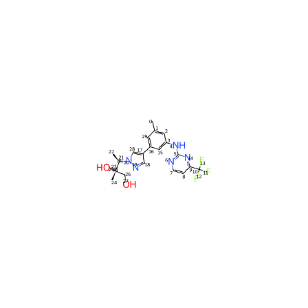 Cc1cc(Nc2nccc(C(F)(F)F)n2)cc(-c2cnn([C@H](C)[C@@](C)(O)CO)c2)c1